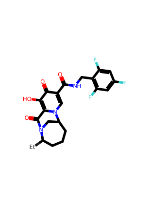 CCC1CCCC2CN1C(=O)c1c(O)c(=O)c(C(=O)NCc3c(F)cc(F)cc3F)cn12